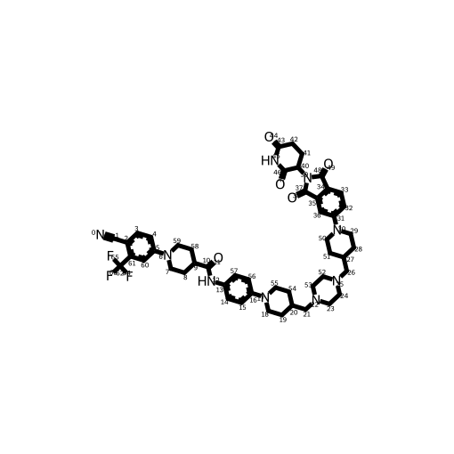 N#Cc1ccc(N2CCC(C(=O)Nc3ccc(N4CCC(CN5CCN(CC6CCN(c7ccc8c(c7)C(=O)N(C7CCC(=O)NC7=O)C8=O)CC6)CC5)CC4)cc3)CC2)cc1C(F)(F)F